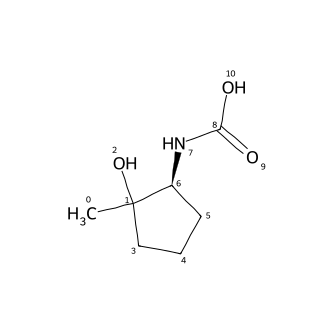 CC1(O)CCC[C@@H]1NC(=O)O